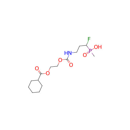 CP(=O)(O)C(F)CCNC(=O)OCCOC(=O)C1CCCCC1